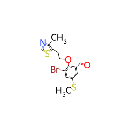 CSc1cc(Br)c(OCCc2scnc2C)c(C=O)c1